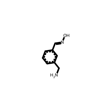 NCc1[c]ccc(C=NO)c1